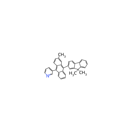 Cc1ccc2c(-c3cccnc3)c3ccccc3c(-c3ccc4c(c3)C(C)(C)c3ccccc3-4)c2c1